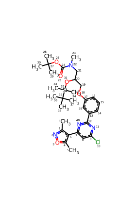 Cc1noc(C)c1-c1cc(Cl)nc(-c2cccc(OCC(CN(C)C(=O)OC(C)(C)C)O[Si](C)(C)C(C)(C)C)c2)n1